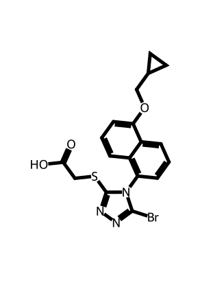 O=C(O)CSc1nnc(Br)n1-c1cccc2c(OCC3CC3)cccc12